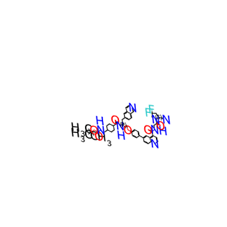 CC(C)(C)OC(=O)NCC1CCC(C(=O)N[C@@H](COc2ccc(-c3ccc4nccc(C(=O)NCC(=O)N5CC(F)(F)C[C@H]5C#N)c4c3)cc2)Cc2ccc3cnccc3c2)CC1